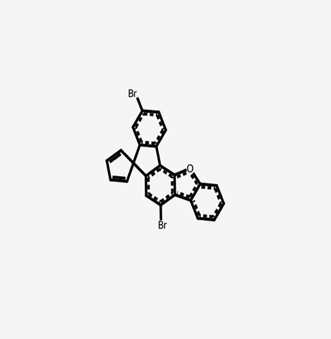 Brc1ccc2c(c1)C1(C=CC=C1)c1cc(Br)c3c(oc4ccccc43)c1-2